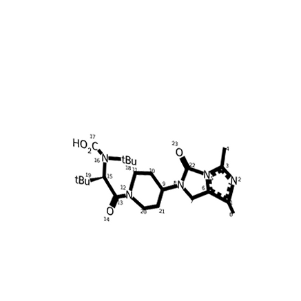 Cc1nc(C)n2c1CN(C1CCN(C(=O)[C@H](N(C(=O)O)C(C)(C)C)C(C)(C)C)CC1)C2=O